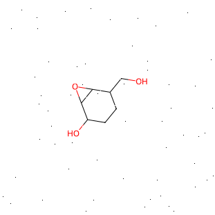 OCC1CCC(O)C2OC12